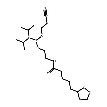 CC(C)N(C(C)C)P(OCCC#N)OCCNC(=O)CCCCC1CCSS1